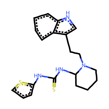 S=C(Nc1cccs1)NC1CCCCN1CCc1c[nH]c2ccccc12